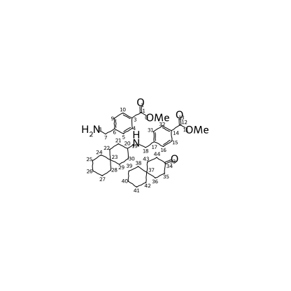 COC(=O)c1ccc(CN)cc1.COC(=O)c1ccc(CNC2CCC3(CCCCC3)CC2)cc1.O=C1CCC2(CCCCC2)CC1